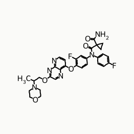 CC(COc1cnc2c(Oc3ccc(N(C(=O)C4(C(N)=O)CC4)c4ccc(F)cc4)cc3F)ccnc2n1)N1CCOCC1